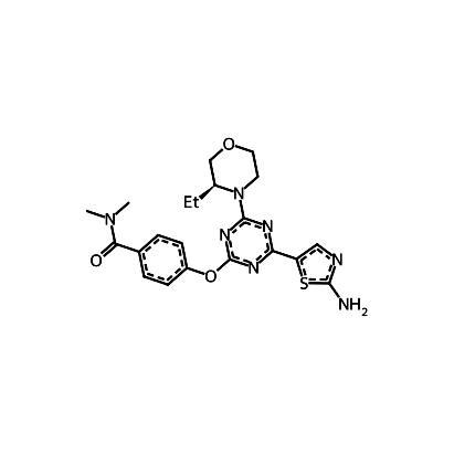 CC[C@H]1COCCN1c1nc(Oc2ccc(C(=O)N(C)C)cc2)nc(-c2cnc(N)s2)n1